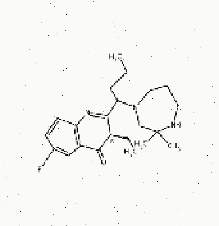 CCCC(C1=Nc2ccc(F)cc2C(=O)[C@@H]1CC)N1CCCNC(C)(C)C1